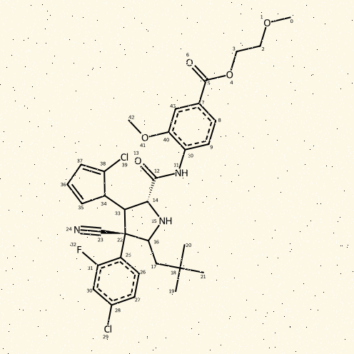 COCCOC(=O)c1ccc(NC(=O)[C@@H]2NC(CC(C)(C)C)[C@](C#N)(c3ccc(Cl)cc3F)C2C2C=CC=C2Cl)c(OC)c1